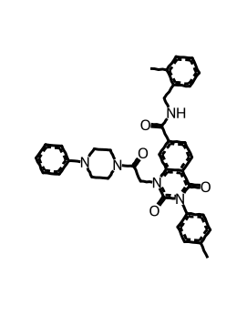 Cc1ccc(-n2c(=O)c3ccc(C(=O)NCc4ccccc4C)cc3n(CC(=O)N3CCN(c4ccccc4)CC3)c2=O)cc1